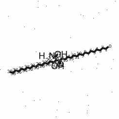 CCCCCCCCCCCCCCCCCC(=O)[C@H](C(N)O)[C@H](O)CCCCCCCCCCCCCCC